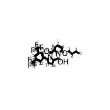 CCCCOc1cccc(C(=O)N2C(CO)CCC2c2cc(C(F)(F)F)cc(C(F)(F)F)c2)n1